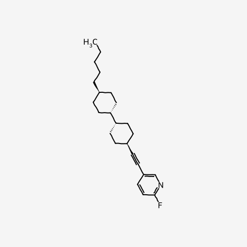 CCCCC[C@H]1CC[C@H]([C@H]2CC[C@H](C#Cc3ccc(F)nc3)CC2)CC1